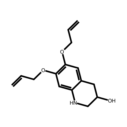 C=CCOc1cc2c(cc1OCC=C)NCC(O)C2